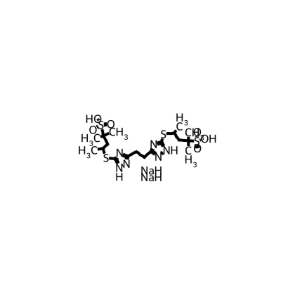 CC(CC(C)(C)S(=O)(=O)O)Sc1nc(CCc2n[nH]c(SC(C)CC(C)(C)S(=O)(=O)O)n2)n[nH]1.[NaH].[NaH]